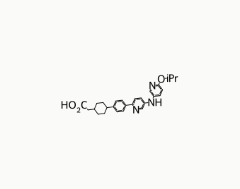 CC(C)Oc1ccc(Nc2ccc(-c3ccc(C4CCC(CC(=O)O)CC4)cc3)nc2)cn1